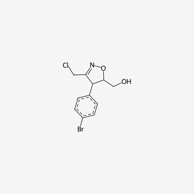 OCC1ON=C(CCl)C1c1ccc(Br)cc1